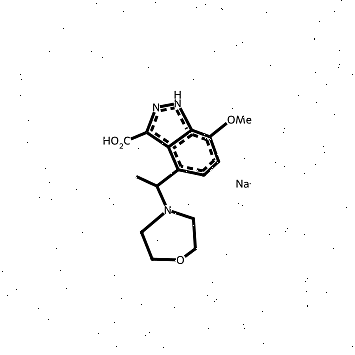 COc1ccc(C(C)N2CCOCC2)c2c(C(=O)O)n[nH]c12.[Na]